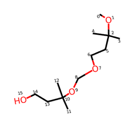 COC(C)(C)CCOCOC(C)(C)CCO